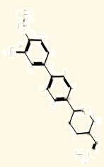 C=CC1CCC(c2ccc(-c3ccc(OCC)c(F)c3)cc2)OC1